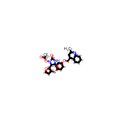 Cc1cc(COc2ccc(Sc3ccoc3C3C(=O)NC(=O)N3OC(=O)C(F)(F)F)cc2)c2ccccc2n1